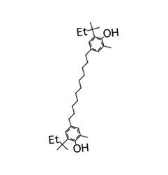 CCC(C)(C)c1cc(CCCCCCCCCCCc2cc(C)c(O)c(C(C)(C)CC)c2)cc(C)c1O